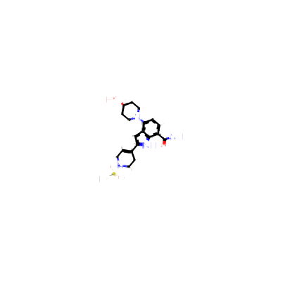 CS(=O)(=O)N1CC=C(c2cc3c(N4CCC(O)CC4)ccc(C(N)=O)c3[nH]2)CC1